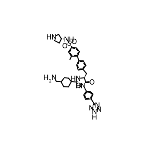 Cc1cc(S(=O)(=O)N[C@@H]2CCNC2)ccc1-c1ccc(C[C@H](NC(=O)C2CCC(CN)CC2)C(=O)Nc2ccc(-c3nn[nH]n3)cc2)cc1